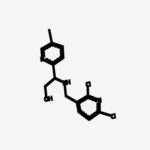 Cc1ccc(C(CO)NCc2ccc(Cl)nc2Cl)nc1